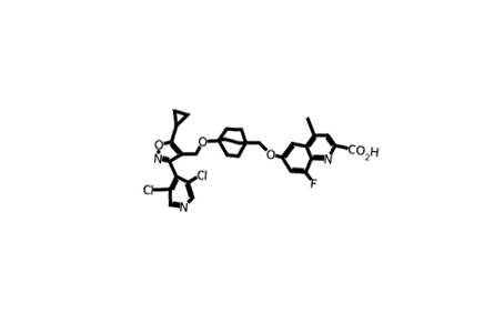 Cc1cc(C(=O)O)nc2c(F)cc(OCC34CCC(OCc5c(-c6c(Cl)cncc6Cl)noc5C5CC5)(CC3)CC4)cc12